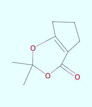 CC1(C)OC(=O)C2=C(CCC2)O1